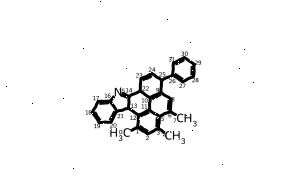 Cc1cc(C)c2c(C)cc3c4c2c1C1C(=Nc2ccccc21)C4C=CC3c1ccccc1